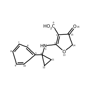 O=C(O)C1=C(NC2(c3ccccc3)CC2)OCC1=O